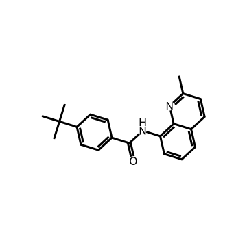 Cc1ccc2cccc(NC(=O)c3ccc(C(C)(C)C)cc3)c2n1